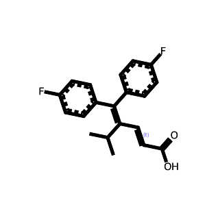 CC(C)C(/C=C/C(=O)O)=C(c1ccc(F)cc1)c1ccc(F)cc1